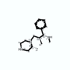 CN[C@@H](c1ccccc1)[C@@H](C)CN1CCNC[C@H]1C